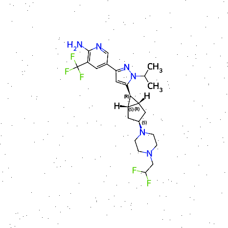 CC(C)n1nc(-c2cnc(N)c(C(F)(F)F)c2)cc1[C@H]1[C@@H]2C[C@@H](N3CCN(CC(F)F)CC3)C[C@@H]21